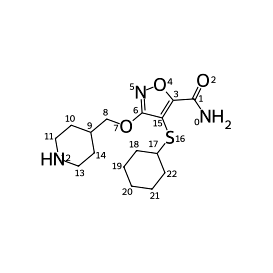 NC(=O)c1onc(OCC2CCNCC2)c1SC1CCCCC1